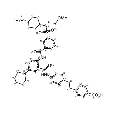 COCCN([C@H]1CC[C@H](C(=O)O)CC1)S(=O)(=O)c1cccc(C(=O)Nc2ccc(N3CCCCC3)cc2C(=O)Nc2ccc(CCc3ccc(C(=O)O)cc3)cc2)c1